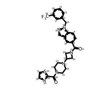 O=C(c1ccc2c(cnn2Cc2cccc(C(F)(F)F)c2)c1)N1CC(N2CCN(C(=O)c3nccs3)CC2)C1